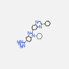 c1ccc(-c2cnc3ccc(-c4nc5cc(-c6nnn[nH]6)ccc5n4C4CCCCC4)cc3n2)cc1